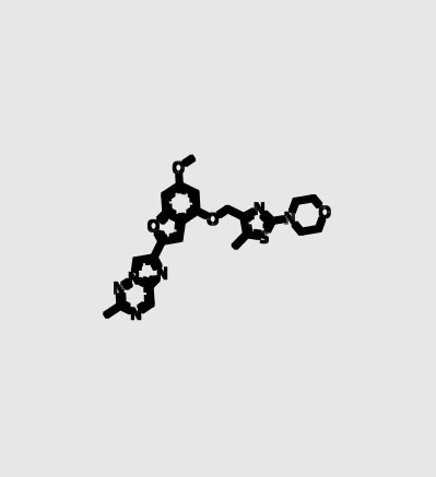 COc1cc(OCc2nc(N3CCOCC3)sc2C)c2cc(-c3cn4nc(C)ncc4n3)oc2c1